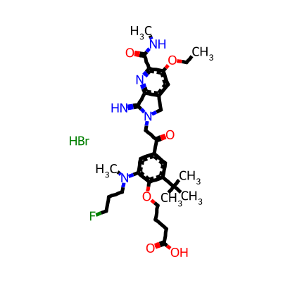 Br.CCOc1cc2c(nc1C(=O)NC)C(=N)N(CC(=O)c1cc(N(C)CCCF)c(OCCCC(=O)O)c(C(C)(C)C)c1)C2